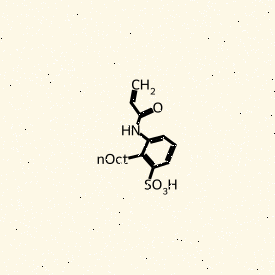 C=CC(=O)Nc1cccc(S(=O)(=O)O)c1CCCCCCCC